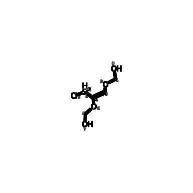 OCOC=C(OCO)[SiH2]Cl